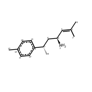 CC(C)=C[C@@H](N)C[C@H](C)c1ccc(C)cc1